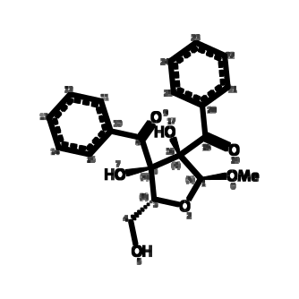 CO[C@H]1O[C@H](CO)[C@](O)(C(=O)c2ccccc2)[C@]1(O)C(=O)c1ccccc1